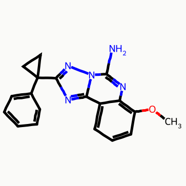 COc1cccc2c1nc(N)n1nc(C3(c4ccccc4)CC3)nc21